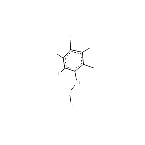 Fc1c(F)c(F)c([SiH2]O[SiH3])c(F)c1F